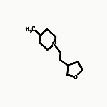 CC1CCN(CCC2CCOC2)CC1